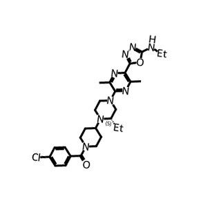 CCNc1nnc(-c2nc(C)c(N3CCN(C4CCN(C(=O)c5ccc(Cl)cc5)CC4)[C@@H](CC)C3)nc2C)o1